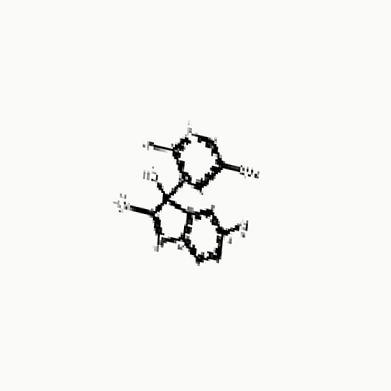 COc1cnc(F)c(C2(O)C(N)=Nc3ccc(Cl)cc32)c1